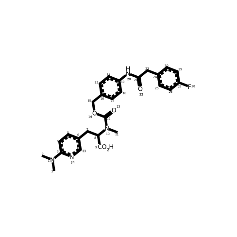 CN(C)c1ccc(CC(C(=O)O)N(C)C(=O)OCc2ccc(NC(=O)Cc3ccc(F)cc3)cc2)cn1